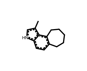 Cc1c[nH]c2ccc3c(c12)CCCCC3